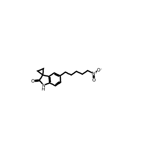 O=C1Nc2ccc(CCCCC[N+](=O)[O-])cc2C12CC2